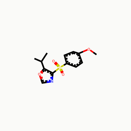 COc1ccc(S(=O)(=O)c2ncoc2C(C)C)cc1